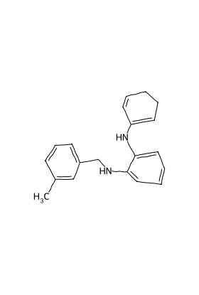 Cc1cccc(CNc2ccccc2NC2=CCCC=C2)c1